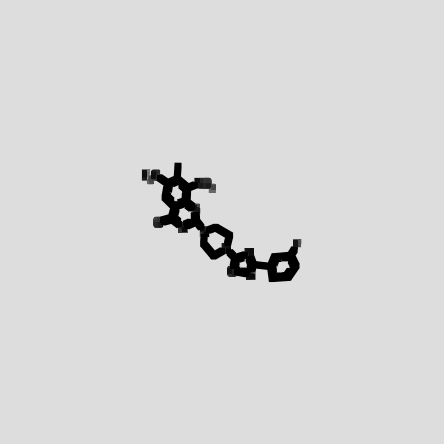 Cc1c(C(F)(F)F)cc2c(=O)nc(N3CCN(c4nc(-c5cccc(F)c5)no4)CC3)sc2c1[N+](=O)[O-]